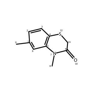 Cc1ccc2c(c1)N(C)C(=O)CS2